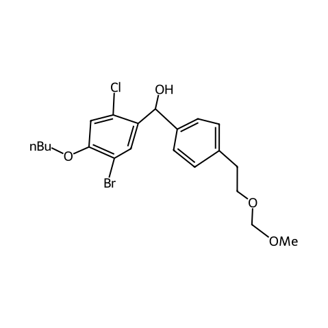 CCCCOc1cc(Cl)c(C(O)c2ccc(CCOCOC)cc2)cc1Br